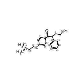 CC(C)CCC(C(=O)c1ccc(OCCN(C)C)cc1)c1ccccc1